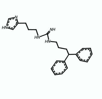 N=C(NCCCc1c[nH]cn1)NCCCC(c1ccccc1)c1ccccc1